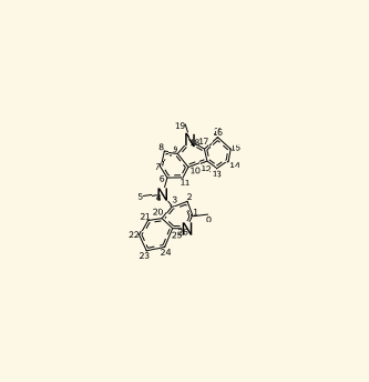 Cc1cc(N(C)c2ccc3c(c2)c2ccccc2n3C)c2ccccc2n1